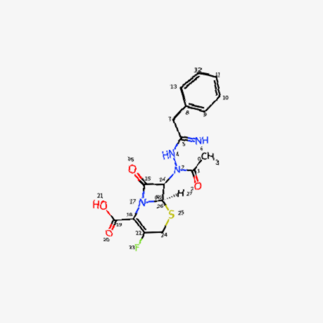 CC(=O)N(NC(=N)Cc1ccccc1)C1C(=O)N2C(C(=O)O)=C(F)CS[C@H]12